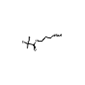 CCCCCCCCCCOC(=O)C(C)(F)CC